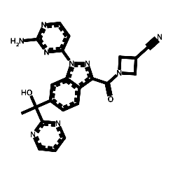 CC(O)(c1ccc2c(C(=O)N3CC(C#N)C3)nn(-c3ccnc(N)n3)c2c1)c1ncccn1